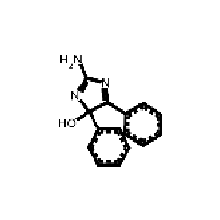 NC1=NC(O)(c2ccccc2)C(c2ccccc2)=N1